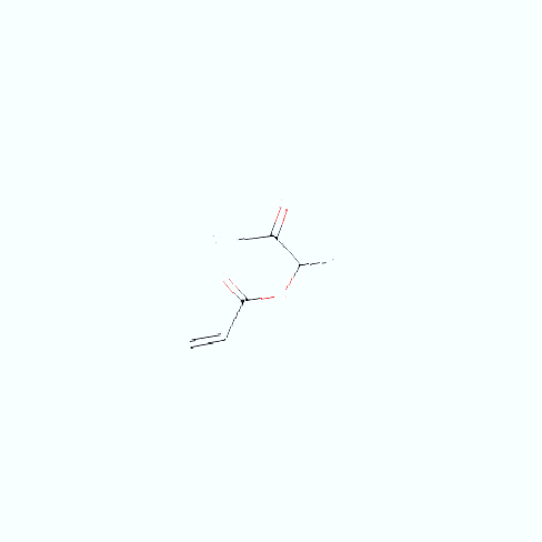 C=CC(=O)OC(C(C)=O)C(=O)OC